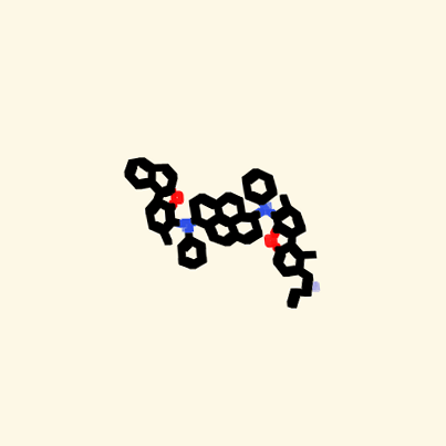 C=C/C=C\c1ccc2oc3c(N(c4ccccc4)c4ccc5ccc6c(N(c7ccccc7)c7c(C)ccc8c7oc7ccc9ccccc9c78)ccc7ccc4c5c76)c(C)ccc3c2c1C